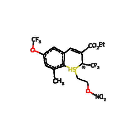 CCOC(=O)C1=Cc2cc(OC(F)(F)F)cc(C)c2[SH](CCO[N+](=O)[O-])[C@@H]1C(F)(F)F